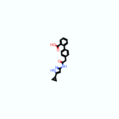 O=C(Cc1ccc(-c2ccccc2C(=O)O)cc1)Nc1cc(C2CC2)[nH]n1